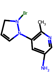 Cc1ncc(N)cc1N1C=CCN1Br